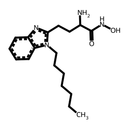 CCCCCCCn1c(CCC(N)C(=O)NO)nc2ccccc21